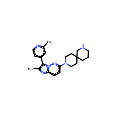 Cc1cc(-c2c(C)nc3ccc(N4CCC5(CCCNC5)CC4)nn23)ccn1